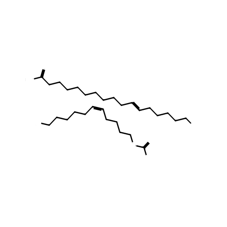 CCCCCC/C=C/CCCCCCCCCC(=O)O.CCCCCC/C=C\CCCCOC(C)=O